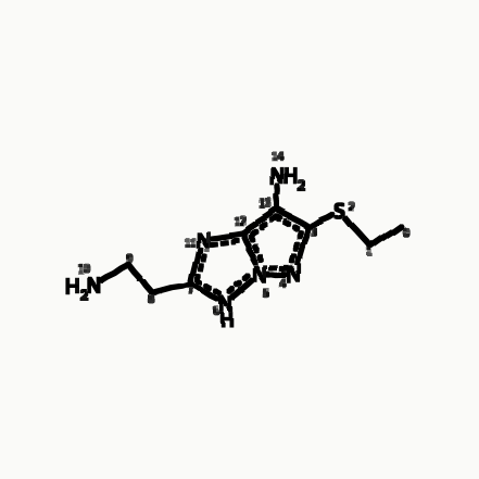 CCSc1nn2[nH]c(CCN)nc2c1N